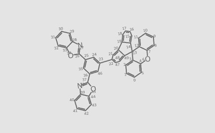 c1ccc2c(c1)Oc1ccccc1C21c2ccccc2-c2cc(-c3cc(-c4nc5ccccc5o4)cc(-c4nc5ccccc5o4)c3)ccc21